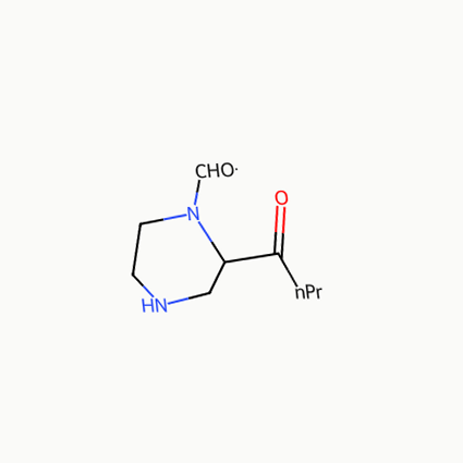 CCCC(=O)C1CNCCN1[C]=O